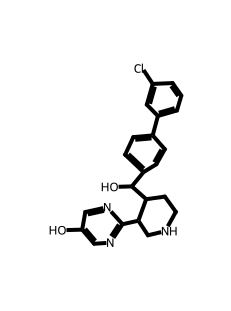 Oc1cnc(C2CNCCC2C(O)c2ccc(-c3cccc(Cl)c3)cc2)nc1